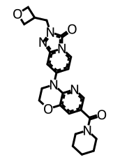 O=C(c1cnc2c(c1)OCCN2c1ccn2c(=O)n(CC3COC3)nc2c1)N1CCCCC1